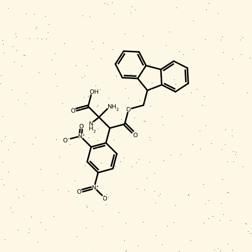 NC(N)(C(=O)O)C(C(=O)OCC1c2ccccc2-c2ccccc21)c1ccc([N+](=O)[O-])cc1[N+](=O)[O-]